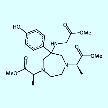 COC(=O)CNC1(c2ccc(O)cc2)CN([C@H](C)C(=O)OC)CCN([C@@H](C)C(=O)OC)C1